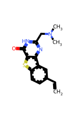 C=Cc1ccc2sc3c(=O)[nH]c(CN(C)C)nc3c2c1